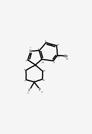 FC1(F)CCC2(C=Nc3ccc(Br)cc32)CC1